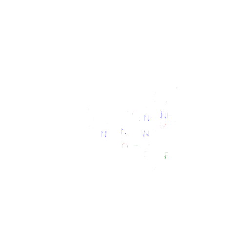 N[C@@H](Cn1c(=O)c(N2CCN(Cc3ccccc3)CC2=O)cn(Cc2c(F)cccc2F)c1=O)c1ccccc1